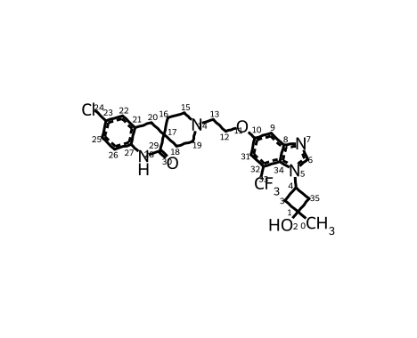 CC1(O)CC(n2cnc3cc(OCCN4CCC5(CC4)Cc4cc(Cl)ccc4NC5=O)cc(C(F)(F)F)c32)C1